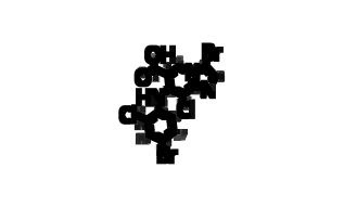 O=C(O)c1cn2c(Br)cnc2c(Cl)c1Nc1ccc(Br)cc1Cl